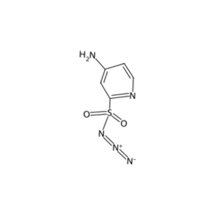 [N-]=[N+]=NS(=O)(=O)c1cc(N)ccn1